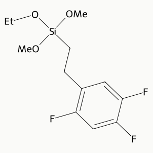 CCO[Si](CCc1cc(F)c(F)cc1F)(OC)OC